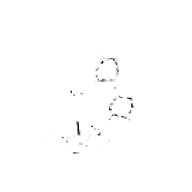 COc1cc(C(F)(F)F)ccc1-c1cc([C@H]2CC[C@@]3(CCN(C)C3=O)N2)ncc1C